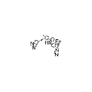 Cc1ccc(C(=O)Nc2ccc(CN3CCN(C)CC3)c(C(F)(F)F)c2)cc1C#Cc1ccc2ncncc2c1